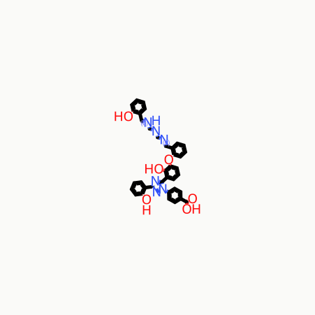 O=C(O)c1ccc(-n2nc(-c3ccccc3O)nc2-c2cccc(Oc3ccccc3/C=N/CNC/N=C/c3ccccc3O)c2O)cc1